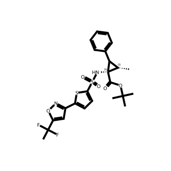 C[C@H]1C(c2ccccc2)[C@]1(NS(=O)(=O)c1ccc(-c2cc(C(C)(F)F)on2)s1)C(=O)OC(C)(C)C